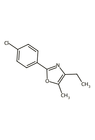 CCc1nc(-c2ccc(Cl)cc2)oc1C